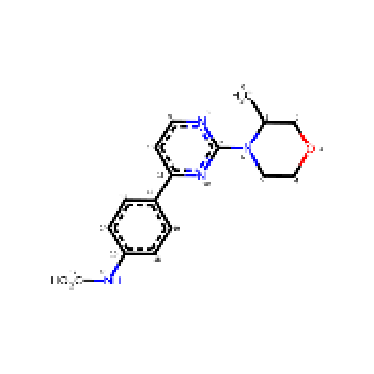 CC1COCCN1c1nccc(-c2ccc(NC(=O)O)cc2)n1